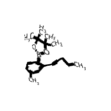 CCCC#Cc1cc(C)ccc1B1OC(C)(C)C(C)(C)O1